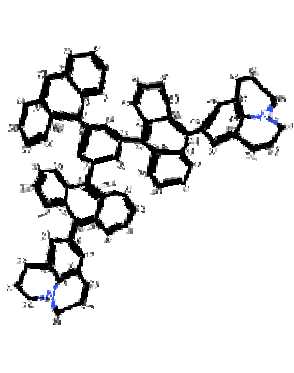 c1ccc2c(-c3cc(-c4c5ccccc5c(-c5cc6c7c(c5)CCCN7CCC6)c5ccccc45)cc(-c4c5ccccc5c(-c5cc6c7c(c5)CCCN7CCC6)c5ccccc45)c3)c3ccccc3cc2c1